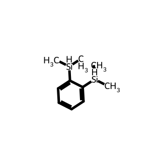 C[SiH](C)c1ccccc1[SiH](C)C